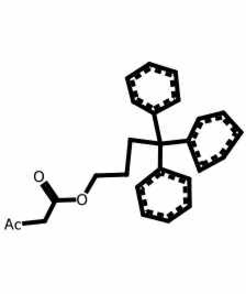 CC(=O)CC(=O)OCCCC(c1ccccc1)(c1ccccc1)c1ccccc1